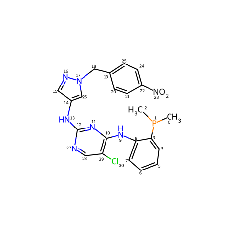 CP(C)c1ccccc1Nc1nc(Nc2cnn(Cc3ccc([N+](=O)[O-])cc3)c2)ncc1Cl